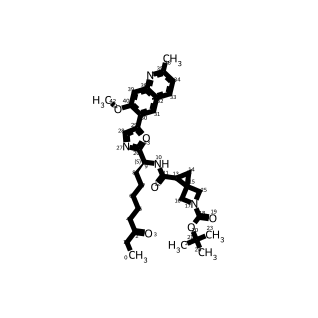 CCC(=O)CCCCC[C@H](NC(=O)C1CC12CN(C(=O)OC(C)(C)C)C2)c1ncc(-c2cc3ccc(C)nc3cc2OC)o1